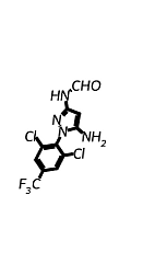 Nc1cc(NC=O)nn1-c1c(Cl)cc(C(F)(F)F)cc1Cl